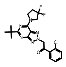 CC(C)(C)c1nc(N2CCC(F)(F)C2)c2nn(CC(=O)c3ccccc3Cl)nc2n1